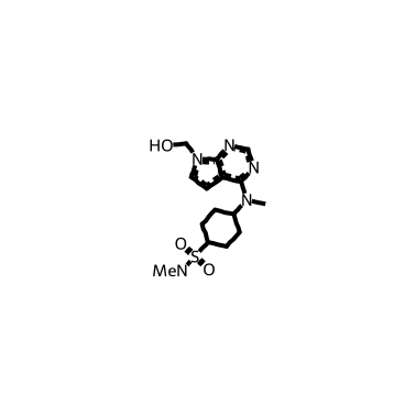 CNS(=O)(=O)C1CCC(N(C)c2ncnc3c2ccn3CO)CC1